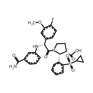 COc1cc([C@@H](Nc2cccc(C(N)=O)c2)C(=O)N2CC[C@H](C(=O)O)[C@@H]2c2ccccc2S(=O)(=O)C2CC2)ccc1F